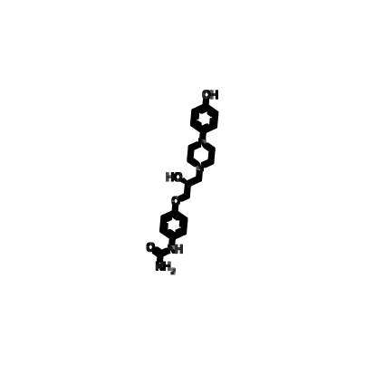 NC(=O)Nc1ccc(OC[C@@H](O)CN2CCN(c3ccc(O)cc3)CC2)cc1